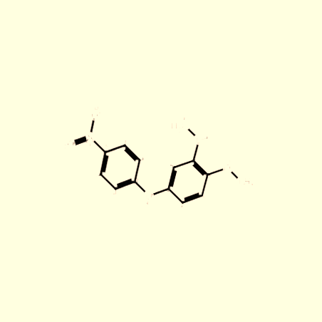 COc1ccc(Oc2ccc([N+](=O)[O-])cc2)cc1OC